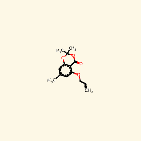 C=CCOc1cc(C)cc2c1C(=O)OC(C)(C)O2